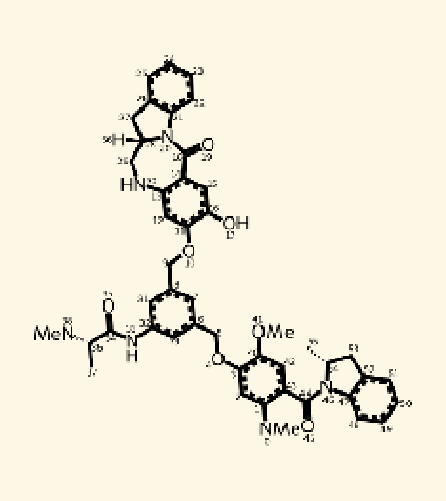 CNc1cc(OCc2cc(COc3cc4c(cc3O)C(=O)N3c5ccccc5C[C@H]3CN4)cc(NC(=O)[C@H](C)NC)c2)c(OC)cc1C(=O)N1c2ccccc2C[C@H]1C